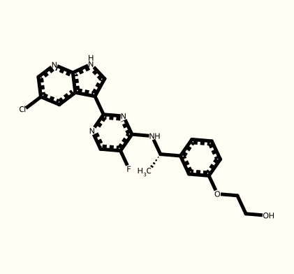 C[C@H](Nc1nc(-c2c[nH]c3ncc(Cl)cc23)ncc1F)c1cccc(OCCO)c1